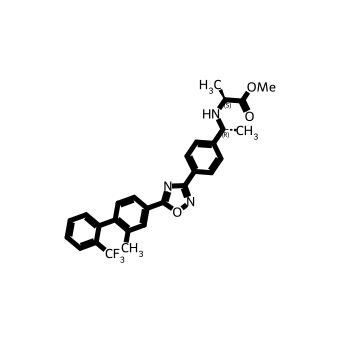 COC(=O)[C@H](C)N[C@H](C)c1ccc(-c2noc(-c3ccc(-c4ccccc4C(F)(F)F)c(C)c3)n2)cc1